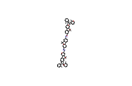 Cc1ccccc1N(c1ccc2c(c1)C(C)(C)c1cc(/C=C/c3ccc4c(c3)C(C)(C)c3cc(/C=C/c5ccc6c(c5)C(C)(C)c5cc(N(c7ccccc7C)c7ccccc7C)ccc5-6)ccc3-4)ccc1-2)c1ccccc1C